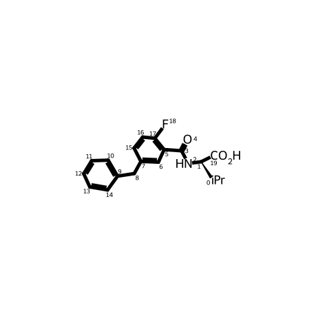 CC(C)[C@@H](NC(=O)c1cc(Cc2ccccc2)ccc1F)C(=O)O